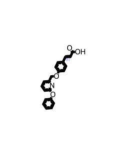 O=C(O)/C=C/c1ccc(OCc2cccc(Oc3ccccc3)n2)cc1